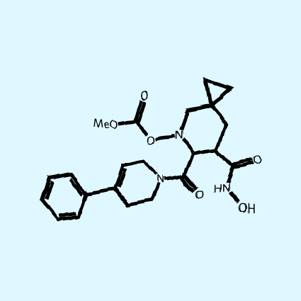 COC(=O)ON1CC2(CC2)CC(C(=O)NO)C1C(=O)N1CC=C(c2ccccc2)CC1